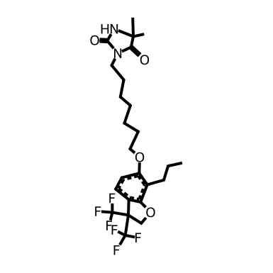 CCCc1c(OCCCCCCCN2C(=O)NC(C)(C)C2=O)ccc2c1OCC2(C(F)(F)F)C(F)(F)F